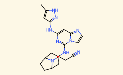 Cc1cc(Nc2cc3nccn3c(NC3CC4CCC(C3)N4CCC#N)n2)n[nH]1